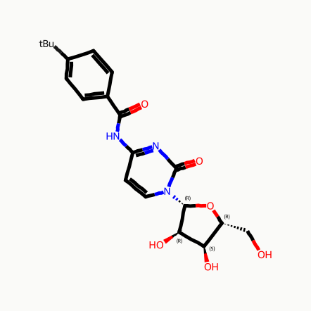 CC(C)(C)c1ccc(C(=O)Nc2ccn([C@@H]3O[C@H](CO)[C@@H](O)[C@H]3O)c(=O)n2)cc1